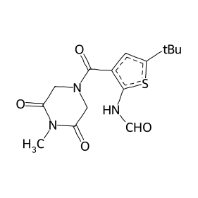 CN1C(=O)CN(C(=O)c2cc(C(C)(C)C)sc2NC=O)CC1=O